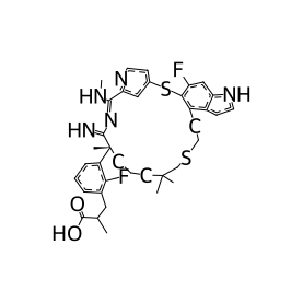 CN/C1=N\C(=N)[C@@](C)(c2cccc(CC(C)C(=O)O)c2F)CCCC(C)(C)CSCCc2c(c(F)cc3[nH]ccc23)Sc2ccnc1c2